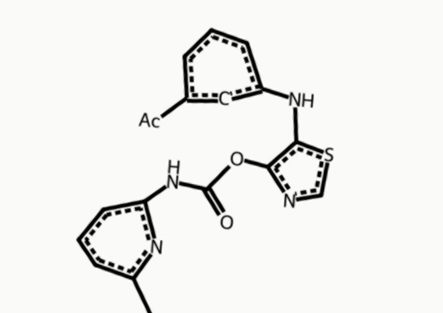 CC(=O)c1cccc(Nc2scnc2OC(=O)Nc2cccc(C)n2)c1